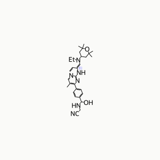 C=C/C(=C\N(CC)C1CC(C)(C)OC(C)(C)C1)Nc1ncc(C)c(-c2ccc(C(O)NCC#N)cc2)n1